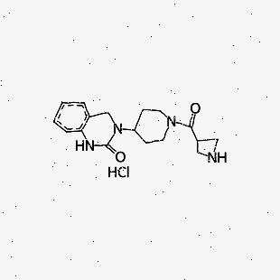 Cl.O=C(C1CNC1)N1CCC(N2Cc3ccccc3NC2=O)CC1